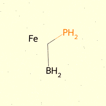 BCP.[Fe]